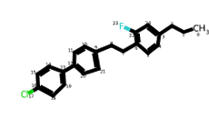 CCCc1ccc(CCc2ccc(-c3ccc(Cl)cc3)cc2)c(F)c1